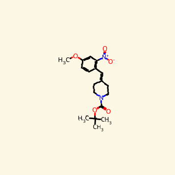 COc1ccc(C=C2CCN(C(=O)OC(C)(C)C)CC2)c([N+](=O)[O-])c1